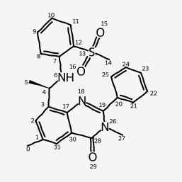 Cc1cc([C@@H](C)Nc2ccccc2S(C)(=O)=O)c2nc(-c3ccccc3)n(C)c(=O)c2c1